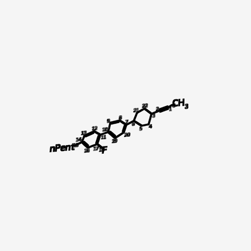 CC#CC1CCC(c2ccc(-c3ccc(CCCCC)cc3F)cc2)CC1